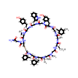 CCCC[C@H]1C(=O)N(C)CC(=O)N[C@@H](CC(=O)O)C(=O)N[C@@H](C(C)C)C(=O)N[C@@H](Cc2cccc(C)c2)C(=O)N[C@H]2Cc3ccc(O)cc3N(CC(=O)N[C@@H](Cc3c[nH]c4ccccc34)C(=O)N[C@@H](CCc3ccc(O)cc3)C(=O)N[C@@H](CC(C)C)C(=O)N[C@H](C(=O)NCC(N)=O)CSCC(=O)N[C@@H](Cc3ccccc3)C(=O)N(C)[C@@H](Cc3ccccc3)C(=O)N1C)C2=O